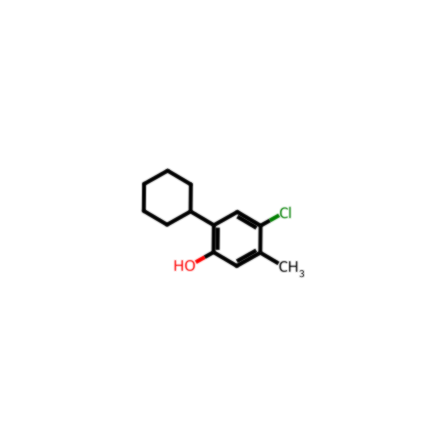 Cc1cc(O)c(C2CCCCC2)cc1Cl